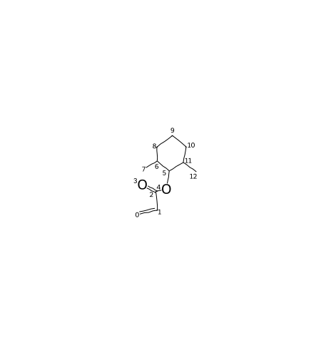 C=CC(=O)OC1C(C)CCCC1C